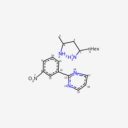 CCCCCCC(N)CC(C)N.O=[N+]([O-])c1cccc(-c2ncccn2)c1